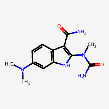 CN(C)c1ccc2c(C(N)=O)c(N(C)C(N)=O)[nH]c2c1